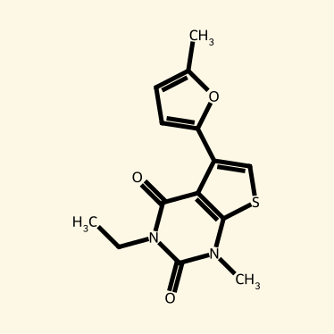 CCn1c(=O)c2c(-c3ccc(C)o3)csc2n(C)c1=O